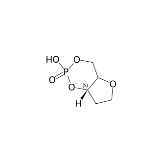 O=P1(O)OCC2OCC[C@@H]2O1